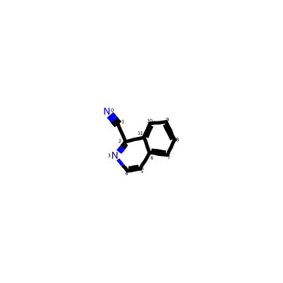 N#Cc1nc[c]c2ccccc12